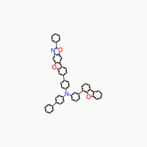 c1ccc(-c2ccc(N(c3ccc(-c4ccc5c(c4)oc4cc6nc(-c7ccccc7)oc6cc45)cc3)c3cccc(-c4cccc5c4oc4ccccc45)c3)cc2)cc1